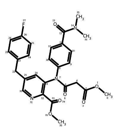 COC(=O)CC(=O)N(c1ccc(C(=O)N(C)C)cc1)c1cc(Cc2ccc(F)cc2)cnc1C(=O)OC